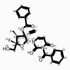 C#C[C@]1(OC(=O)c2ccccc2)[C@H](n2ccc(=O)n(C(=O)c3ccccc3)c2=O)O[C@](F)(CO)[C@H]1C